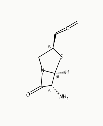 C=C=C[C@@H]1CN2C(=O)[C@@H](N)[C@@H]2S1